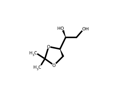 CC1(C)OC[C@H]([C@@H](O)CO)O1